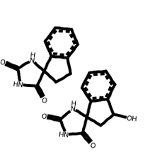 O=C1NC(=O)C2(CC(O)c3ccccc32)N1.O=C1NC(=O)C2(CCc3ccccc32)N1